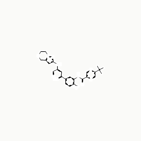 CC(C)(C)c1cnc(C(=O)Nc2cc(C(=N)/C=C(\C=O)Nc3cc4n(n3)CCOC4)ccc2P)cn1